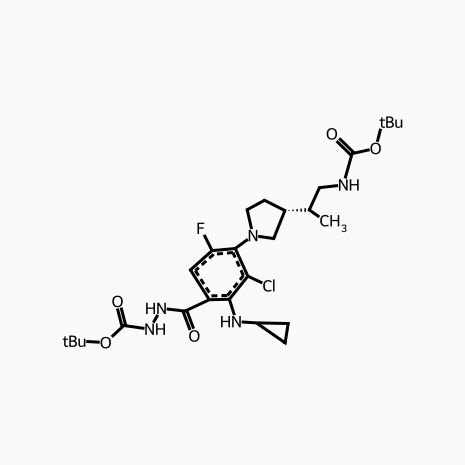 CC(CNC(=O)OC(C)(C)C)[C@H]1CCN(c2c(F)cc(C(=O)NNC(=O)OC(C)(C)C)c(NC3CC3)c2Cl)C1